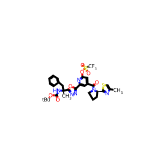 Cc1csc([C@H]2CCCN2C(=O)c2cc(OS(=O)(=O)C(F)(F)F)nc(-c3nnc([C@@](C)(Cc4ccccc4)NC(=O)OC(C)(C)C)o3)c2)n1